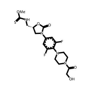 COC(=S)NC[C@H]1CN(c2cc(F)c(N3CCN(C(=O)CO)CC3)c(F)c2)C(=O)O1